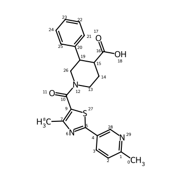 Cc1ccc(-c2nc(C)c(C(=O)N3CCC(C(=O)O)C(c4ccccc4)C3)s2)cn1